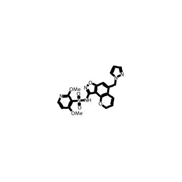 COc1ccnc(OC)c1S(=O)(=O)Nc1noc2cc(Cn3cccn3)c3c(c12)OCC=C3